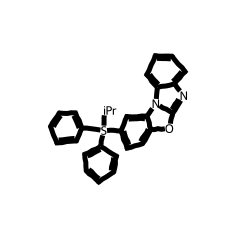 CC(C)S(c1ccccc1)(c1ccccc1)c1ccc2oc3nc4ccccc4n3c2c1